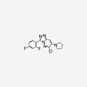 Fc1ccc(-c2nnc3cc(N4CCCC4)c(Cl)nn23)c(F)c1